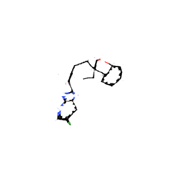 C[C@@H](c1nc2ncc(Cl)cc2[nH]1)[C@H]1CC[C@@]2(CC1)COc1ccccc12